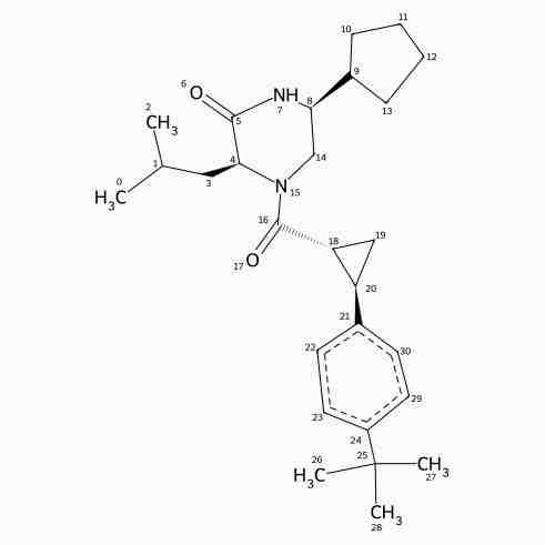 CC(C)C[C@H]1C(=O)N[C@@H](C2CCCC2)CN1C(=O)[C@@H]1C[C@H]1c1ccc(C(C)(C)C)cc1